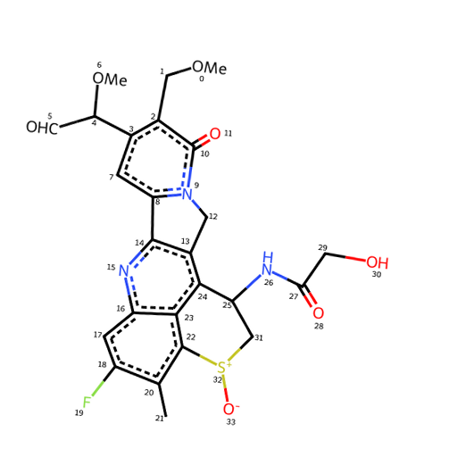 COCc1c(C(C=O)OC)cc2n(c1=O)Cc1c-2nc2cc(F)c(C)c3c2c1C(NC(=O)CO)C[S+]3[O-]